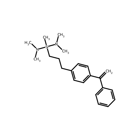 C=C(c1ccccc1)c1ccc(CCC[Si](C)(N(C)C)N(C)C)cc1